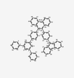 c1ccc(-c2nc(-c3ccccc3)nc(-c3ccc(-c4c(-c5ccc(-n6c7ccccc7c7ccccc76)cc5)c5ccccc5c5ccccc45)cc3)n2)cc1